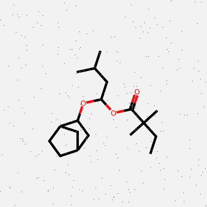 CCC(C)(C)C(=O)OC(CC(C)C)OC1CC2CCC1C2